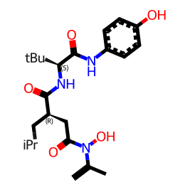 C=C(C)N(O)C(=O)C[C@@H](CC(C)C)C(=O)N[C@H](C(=O)Nc1ccc(O)cc1)C(C)(C)C